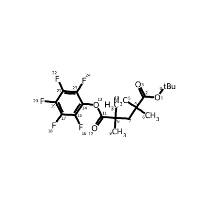 CC(C)(C)OC(=O)C(C)(C)CC(C)(C)C(=O)Oc1c(F)c(F)c(F)c(F)c1F